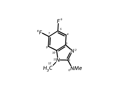 CNc1nc2cc(F)c(F)cc2n1C